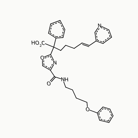 O=C(NCCCCOc1ccccc1)c1coc(C(CCCC=Cc2cccnc2)(C(=O)O)c2ccccc2)n1